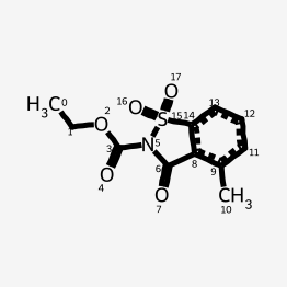 CCOC(=O)N1C(=O)c2c(C)cccc2S1(=O)=O